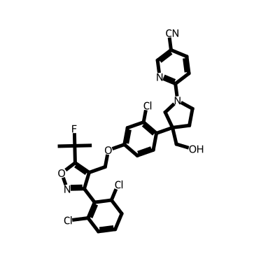 CC(C)(F)c1onc(C2=C(Cl)C=CCC2Cl)c1COc1ccc(C2(CO)CCN(c3ccc(C#N)cn3)C2)c(Cl)c1